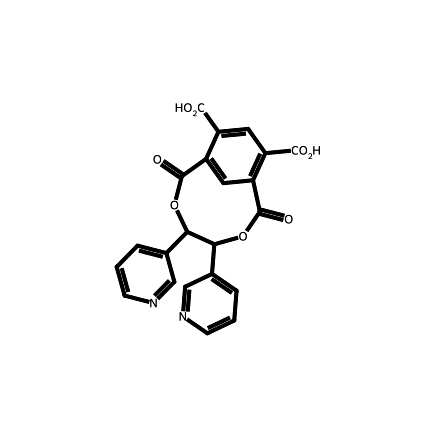 O=C(O)c1cc(C(=O)O)c2cc1C(=O)OC(c1cccnc1)C(c1cccnc1)OC2=O